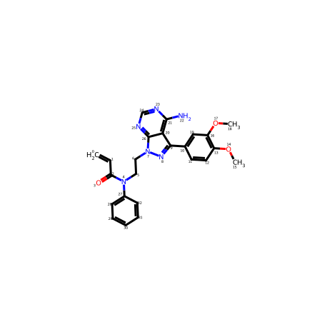 C=CC(=O)N(CCn1nc(-c2ccc(OC)c(OC)c2)c2c(N)ncnc21)c1ccccc1